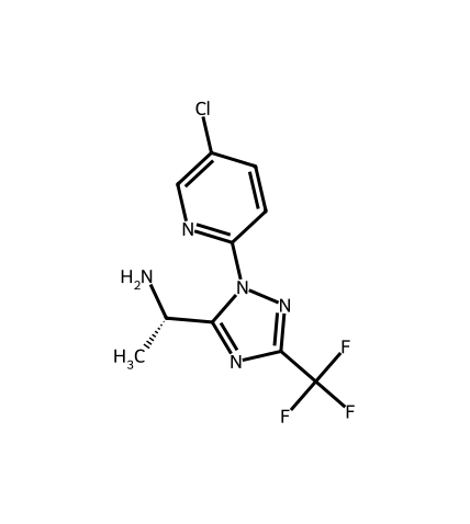 C[C@H](N)c1nc(C(F)(F)F)nn1-c1ccc(Cl)cn1